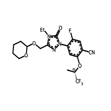 CCn1c(COC2CCCCO2)nn(-c2cc(O[C@@H](C)C(F)(F)F)c(C#N)cc2F)c1=O